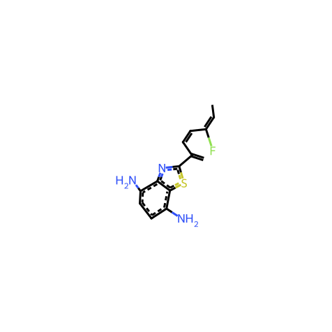 C=C(/C=C\C(F)=C/C)c1nc2c(N)ccc(N)c2s1